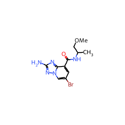 COCC(C)NC(=O)c1cc(Br)cn2nc(N)nc12